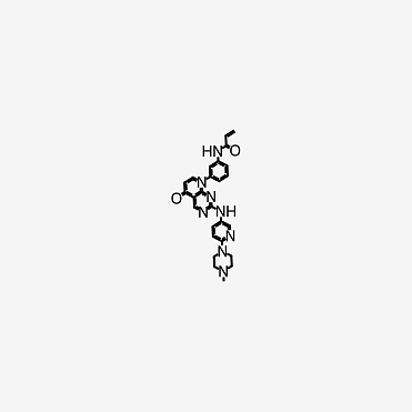 C=CC(=O)Nc1cccc(-n2ccc(=O)c3cnc(Nc4ccc(N5CCN(C)CC5)nc4)nc32)c1